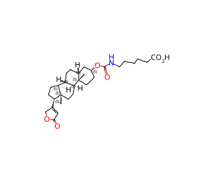 C[C@]12CC[C@H](OC(=O)NCCCCCC(=O)O)C[C@H]1CC[C@@H]1[C@@H]2CC[C@]2(C)[C@@H](C3=CC(=O)OC3)CC[C@@H]12